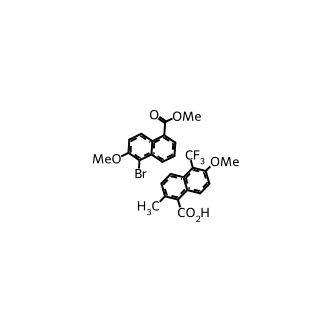 COC(=O)c1cccc2c(Br)c(OC)ccc12.COc1ccc2c(C(=O)O)c(C)ccc2c1C(F)(F)F